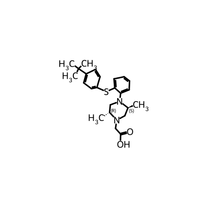 C[C@@H]1CN(c2ccccc2Sc2ccc(C(C)(C)C)cc2)[C@@H](C)CN1CC(=O)O